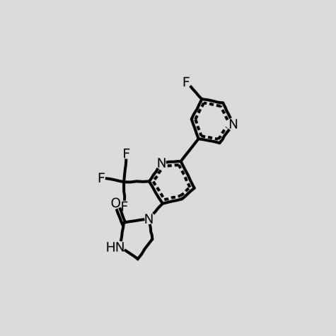 O=C1NCCN1c1ccc(-c2cncc(F)c2)nc1C(F)(F)F